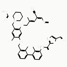 C=N/C=C(C#N)\C=C(/C)COc1cc(OCc2cccc(-c3cccc(NC(=O)c4ncc(C=O)s4)c3C)c2C)c(Cl)cc1CN1CCCC[C@H]1C(=O)O